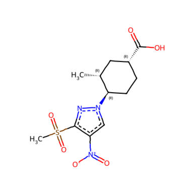 C[C@@H]1C[C@H](C(=O)O)CC[C@H]1n1cc([N+](=O)[O-])c(S(C)(=O)=O)n1